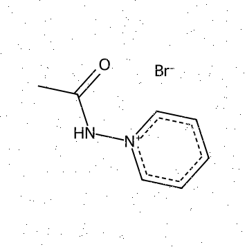 CC(=O)N[n+]1ccccc1.[Br-]